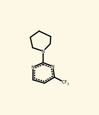 FC(F)(F)c1ccnc(N2CC[CH]CC2)n1